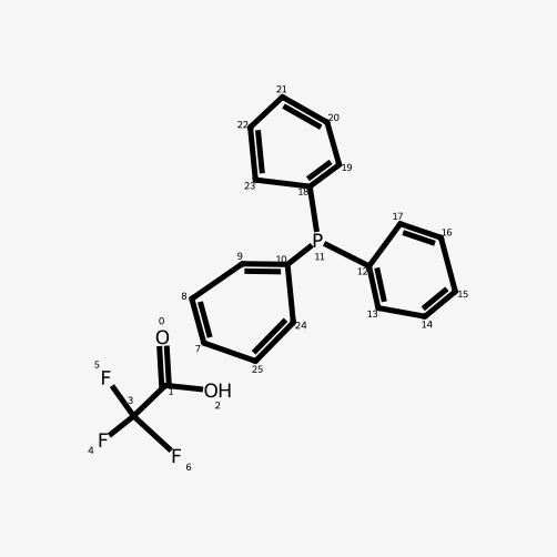 O=C(O)C(F)(F)F.c1ccc(P(c2ccccc2)c2ccccc2)cc1